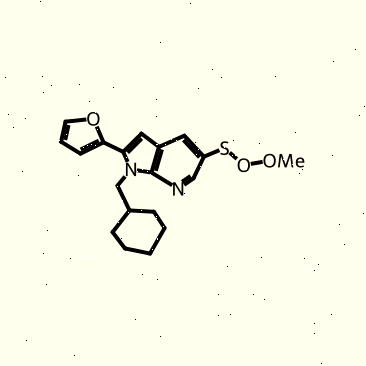 COOSc1cnc2c(c1)cc(-c1ccco1)n2CC1CCCCC1